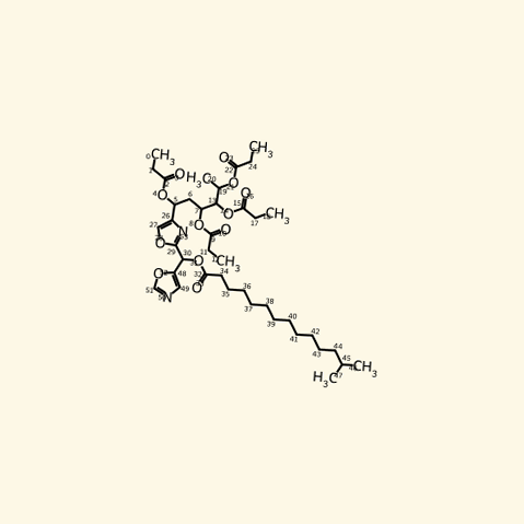 CCC(=O)OC(CC(OC(=O)CC)C(OC(=O)CC)C(C)OC(=O)CC)c1coc(C(OC(=O)CCCCCCCCCCCC(C)C)c2cnco2)n1